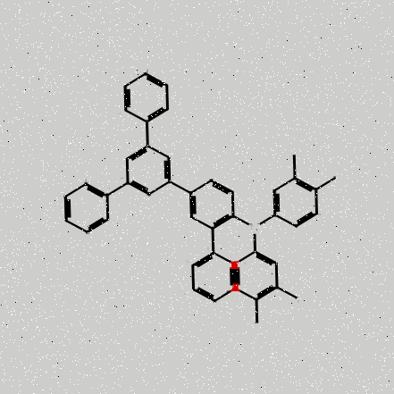 Cc1ccc(N(c2ccc(C)c(C)c2)c2ccc(-c3cc(-c4ccccc4)cc(-c4ccccc4)c3)cc2-c2ccccc2)cc1C